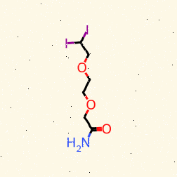 NC(=O)COCCOCC(I)I